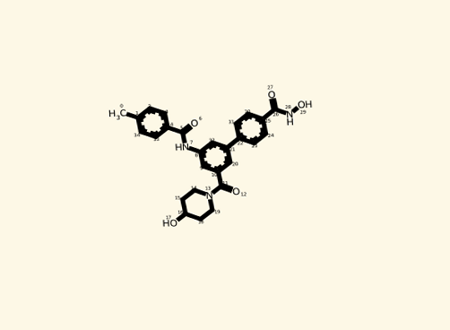 Cc1ccc(C(=O)Nc2cc(C(=O)N3CCC(O)CC3)cc(-c3ccc(C(=O)NO)cc3)c2)cc1